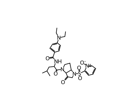 CCN(CC)c1ccc(C(=O)NC(CC(C)C)C(=O)N2CCC3C2C(=O)CN3S(=O)(=O)c2cccc[n+]2[O-])cc1